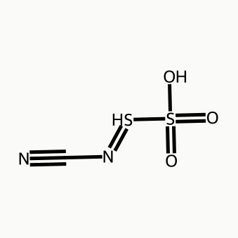 N#CN=[SH]S(=O)(=O)O